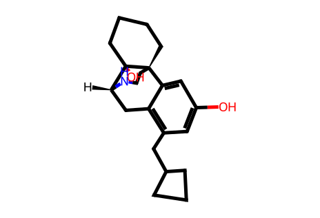 Oc1cc(CC2CCC2)c2c(c1)[C@@]13CCCC[C@@]1(O)[C@@H](C2)NCC3